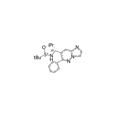 CC(C)[C@@H](N[S+]([O-])C(C)(C)C)c1cc2nccn2nc1-c1ccccc1